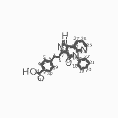 O=C(O)c1ccc(CCc2n[nH]c3c2c(=O)n(-c2ccccc2)c2ncccc32)cc1